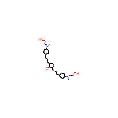 CN(CCO)c1ccc(/C=C/C=C2\CC/C(=C\C=C\c3ccc(N(C)CCO)cc3)C2=O)cc1